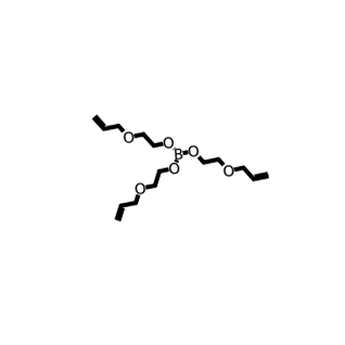 C=CCOCCOB(OCCOCC=C)OCCOCC=C